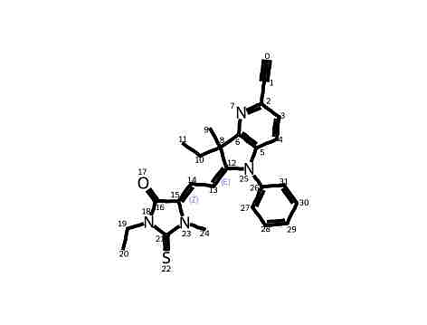 C#Cc1ccc2c(n1)C(C)(CC)/C(=C\C=C1\C(=O)N(CC)C(=S)N1C)N2c1ccccc1